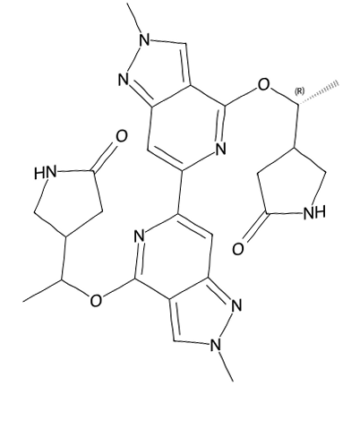 CC(Oc1nc(-c2cc3nn(C)cc3c(O[C@H](C)C3CNC(=O)C3)n2)cc2nn(C)cc12)C1CNC(=O)C1